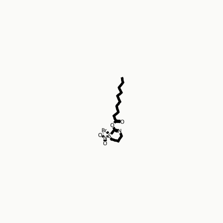 CCCCCCCCCC(=O)OC1=NCCCS1(Br)[N+](=O)[O-]